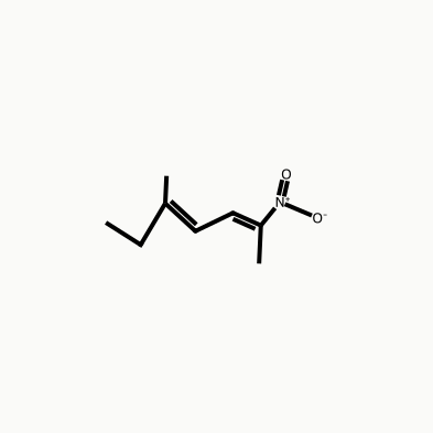 CC/C(C)=C/C=C(\C)[N+](=O)[O-]